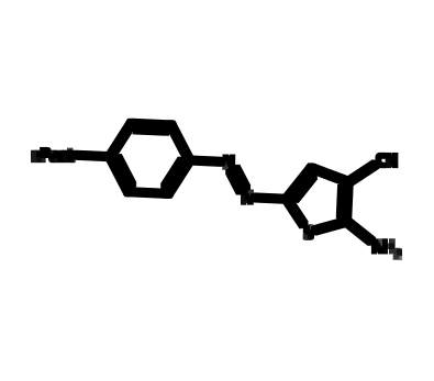 CCCCCc1ccc(N=Nc2cc(C#N)c(N)s2)cc1